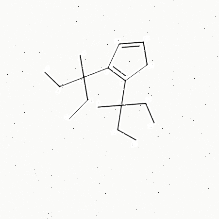 CCC(C)(CC)C1=C(C(C)(CC)CC)CC=C1